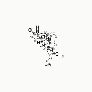 CC(C)CCC[C@@H](C)[C@H]1CC[C@H]2[C@@H]3C(C(F)(F)F)C=C4NC(=O)CC[C@]4(C)[C@H]3CC[C@]12C